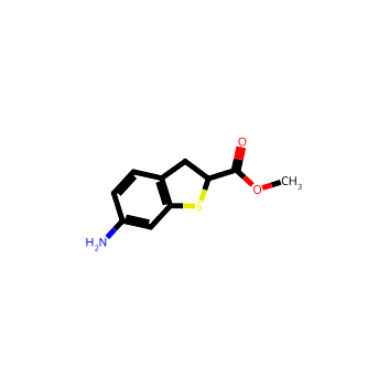 COC(=O)C1Cc2ccc(N)cc2S1